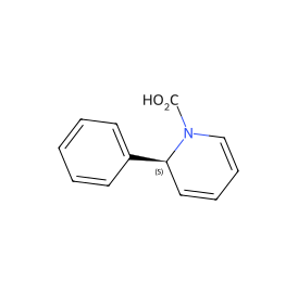 O=C(O)N1C=CC=C[C@H]1c1ccccc1